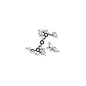 CC(=O)[O-].CC(=O)[O-].CC(C)CCc1cc(C=Nc2ccc(N=Cc3cc(CCC(C)C)cc(C(C)(C)C)c3O)cc2)c(O)c(C(C)(C)C)c1.[Co+2]